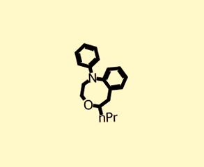 CCCC1Cc2ccccc2N(c2ccccc2)CCO1